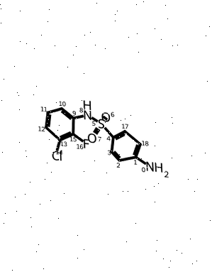 Nc1ccc(S(=O)(=O)Nc2cccc(Cl)c2F)cc1